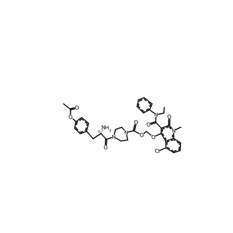 CCN(C(=O)c1c(OCOC(=O)N2CCN(C(=O)[C@@H](N)Cc3ccc(OC(C)=O)cc3)CC2)c2c(Cl)cccc2n(C)c1=O)c1ccccc1